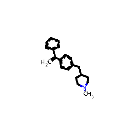 C=C(c1ccccc1)c1ccc(CC2CCN(C)CC2)cc1